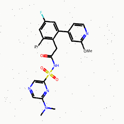 COc1cc(-c2cc(F)cc(C(C)C)c2CC(=O)NS(=O)(=O)c2cncc(N(C)C)n2)ccn1